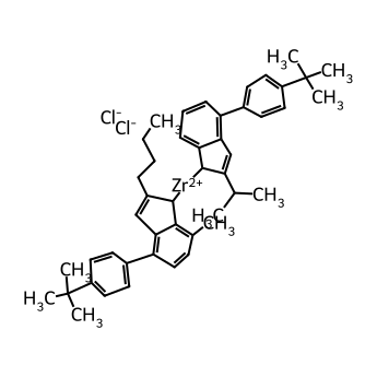 CCCCC1=Cc2c(-c3ccc(C(C)(C)C)cc3)ccc(C)c2[CH]1[Zr+2][CH]1C(C(C)C)=Cc2c(-c3ccc(C(C)(C)C)cc3)cccc21.[Cl-].[Cl-]